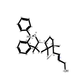 C[C@@H](/C=C/CO)[C@@]1(C)CC[C@@H](C(O[SiH](c2ccccc2)c2ccccc2)C(C)(C)C)C1(C)C